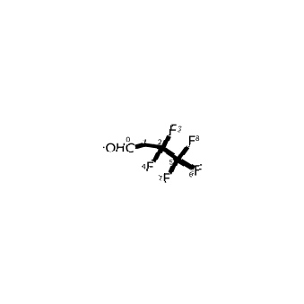 O=[C]CC(F)(F)C(F)(F)F